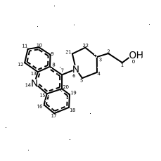 OCCC1CCN(c2c3ccccc3nc3ccccc23)CC1